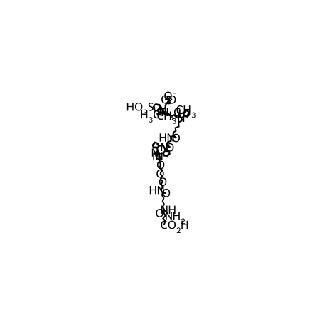 CC1(C)C(/C=C/C=C/C=C2\N(CCCS(=O)(=O)[O-])c3ccc(S(=O)(=O)O)cc3C2(C)C)=[N+](CCCCCCC(=O)NCCC(=O)N2Cc3ccccc3-c3nnn(CCOCCOCCOCCNC(=O)CCCCCNC(=O)[C@H](N)CCC(=O)O)c3-c3ccccc32)c2ccccc21